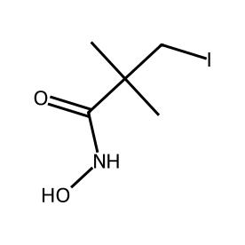 CC(C)(CI)C(=O)NO